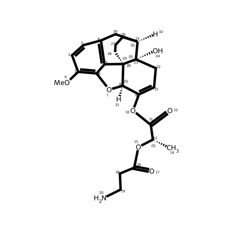 COc1ccc2c3c1O[C@@H]1C(OC(=O)[C@H](C)OC(=O)CCN)=CC[C@]4(O)[C@@H](CCC[C@@]314)C2